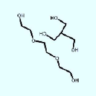 OCC(CO)CO.OCCOCCOCCO